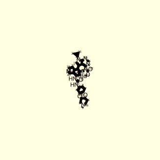 CN1CCC(Oc2ccc(NC(=O)Nc3ccc(-c4cn(C5CC5)c5ncnc(N(C(=O)O)C(=O)OC(C)(C)C)c45)c4ccncc34)cc2C(F)(F)F)CC1